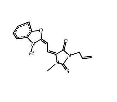 C=CCN1C(=O)C(=CC=C2Oc3ccccc3N2CC)N(C)C1=S